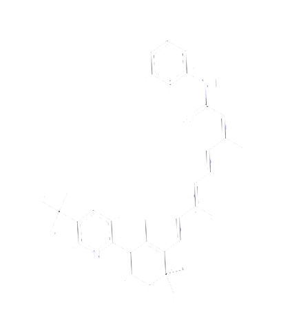 CC1=C(/C=C/C(C)=C/C=C/C(C)=C\C(=O)Nc2ccccc2)C(C)(C)CCC1c1ccc(C(C)(C)C)cn1